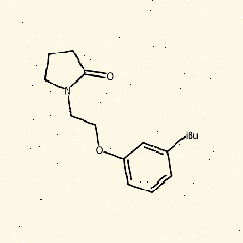 CCC(C)c1cccc(OCCN2CCCC2=O)c1